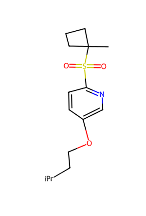 CC(C)CCOc1ccc(S(=O)(=O)C2(C)CCC2)nc1